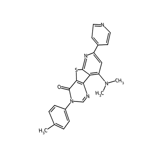 Cc1ccc(-n2cnc3c(sc4nc(-c5ccncc5)cc(N(C)C)c43)c2=O)cc1